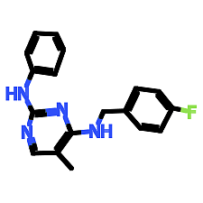 Cc1cnc(Nc2ccccc2)nc1NCc1ccc(F)cc1